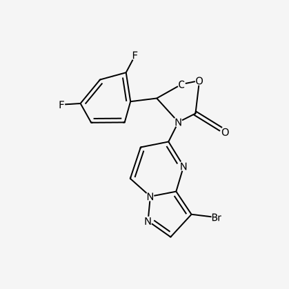 O=C1OCC(c2ccc(F)cc2F)N1c1ccn2ncc(Br)c2n1